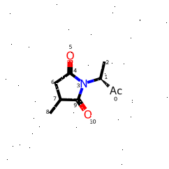 CC(=O)[C@H](C)N1C(=O)CC(C)C1=O